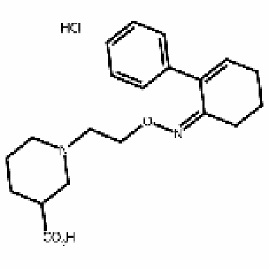 Cl.O=C(O)C1CCCN(CCON=C2CCCC=C2c2ccccc2)C1